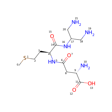 CSCC[C@H](NC(=O)C[C@H](N)C(=O)O)C(=O)NC(CN)CN